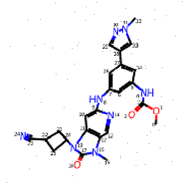 COC(=O)Nc1cc(Nc2cc3c(cn2)n(C)c(=O)n3C2CC(C#N)C2)cc(-c2cnn(C)c2)c1